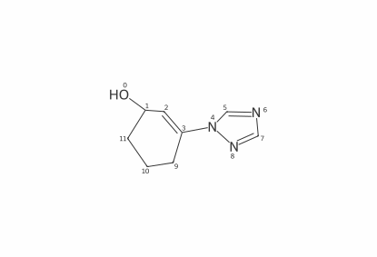 OC1C=C(n2cncn2)CCC1